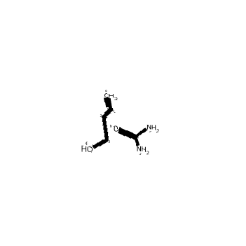 C=CCCO.NC(N)=O